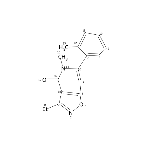 CCc1noc2cc(-c3ccccc3C)n(C)c(=O)c12